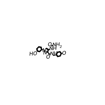 COc1ccc(CNC(=O)c2nn(-c3cccc(O)c3)cc2NC(N)=O)cc1